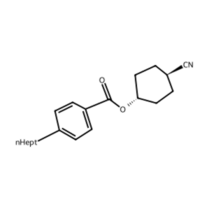 CCCCCCCc1ccc(C(=O)O[C@H]2CC[C@H](C#N)CC2)cc1